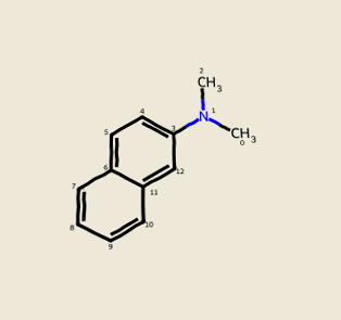 CN(C)c1ccc2[c]cccc2c1